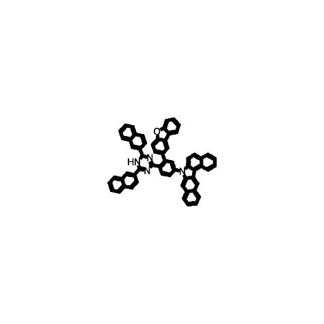 c1ccc2cc(C3=NC(c4ccc(-n5c6cc7ccccc7cc6c6c7ccccc7ccc65)cc4-c4ccc5oc6ccccc6c5c4)=NC(c4ccc5ccccc5c4)N3)ccc2c1